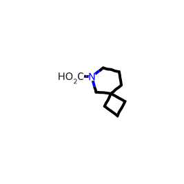 O=C(O)N1CCCC2(CCC2)C1